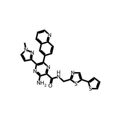 Cn1ccc(-c2nc(N)c(C(=O)NCc3ncc(-c4cccs4)s3)nc2-c2ccc3ncccc3c2)n1